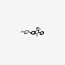 CC(=O)N1CCN(c2ccc3c(c2)N2CCN=C2C(c2ccccc2)=[N+]3[O-])CC1